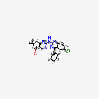 CC1(C)CC(=O)c2cnc(Nc3nc(-c4ccccc4)c4cc(Cl)ccc4n3)nc2C1